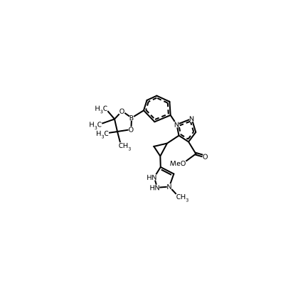 COC(=O)c1cnn(-c2cccc(B3OC(C)(C)C(C)(C)O3)c2)c1C1CC1C1=CN(C)NN1